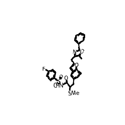 CSC(Cc1ccc2oc(Cc3nc(-c4ccccc4)oc3C)cc2c1)C(=O)NS(=O)(=O)c1ccc(F)cc1